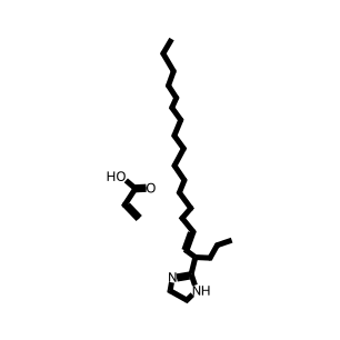 C=CC(=O)O.CCCCCCCCCCCCCCC=CC(CCC)C1=NCCN1